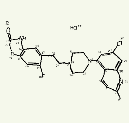 Cc1ccc2c(N3CCN(CCc4cc5c(cc4F)OCC(=O)N5)CC3)cc(Cl)cc2n1.Cl